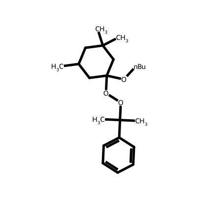 CCCCOC1(OOC(C)(C)c2ccccc2)CC(C)CC(C)(C)C1